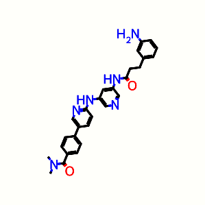 CN(C)C(=O)c1ccc(-c2ccc(Nc3cncc(NC(=O)CCc4cccc(N)c4)c3)nc2)cc1